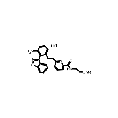 COCCNC(=O)c1cccc(CCc2cccc(N)c2-c2noc3ccccc23)n1.Cl